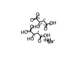 N.O=C(O)CC(O)C(=O)O.O=C(O)CC(O)C(=O)[O-].[Na+]